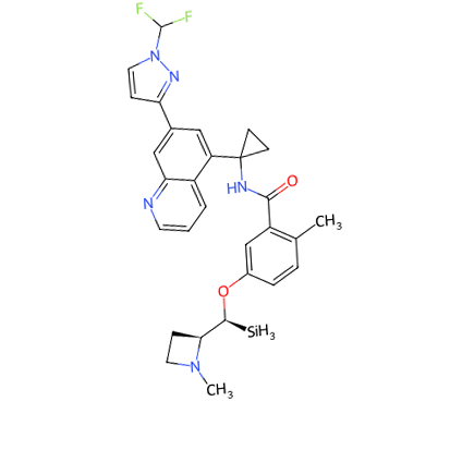 Cc1ccc(O[C@@H]([SiH3])[C@@H]2CCN2C)cc1C(=O)NC1(c2cc(-c3ccn(C(F)F)n3)cc3ncccc23)CC1